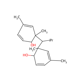 CC1=CC(C)(C(C(C)C)C2(C)C=C(C)C=CC2O)C(O)C=C1